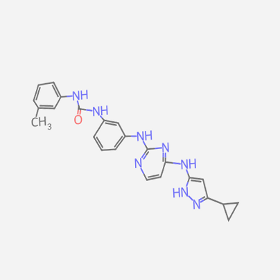 Cc1cccc(NC(=O)Nc2cccc(Nc3nccc(Nc4cc(C5CC5)n[nH]4)n3)c2)c1